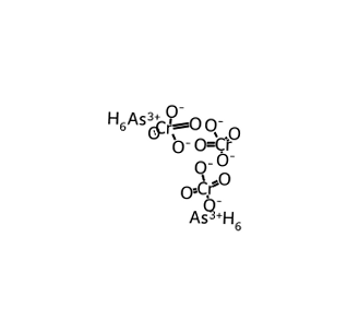 [AsH6+3].[AsH6+3].[O]=[Cr](=[O])([O-])[O-].[O]=[Cr](=[O])([O-])[O-].[O]=[Cr](=[O])([O-])[O-]